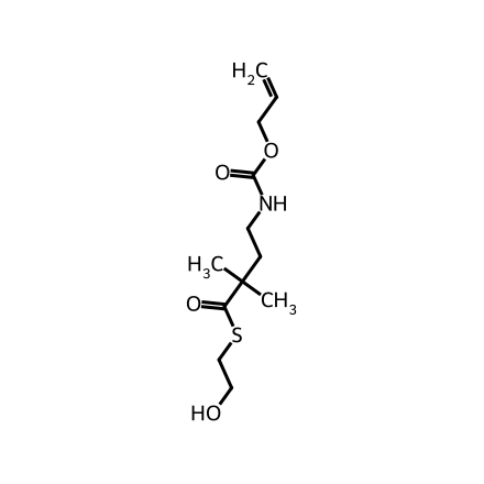 C=CCOC(=O)NCCC(C)(C)C(=O)SCCO